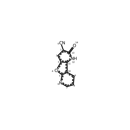 N#Cc1cc2oc3ncccc3c2[nH]c1=O